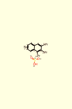 CC(C)c1cc2ccccc2c(C(C)C)c1C(C)C.O=[S-](=O)O.[Na+]